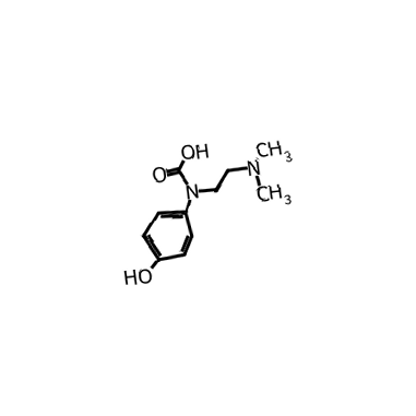 CN(C)CCN(C(=O)O)c1ccc(O)cc1